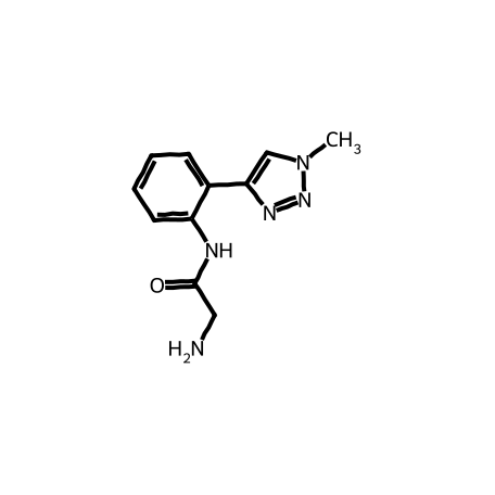 Cn1cc(-c2ccccc2NC(=O)CN)nn1